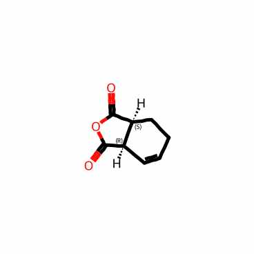 O=C1OC(=O)[C@@H]2C=CCC[C@H]12